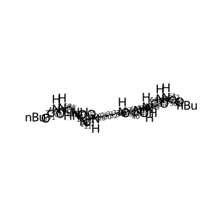 CCCCOc1ccc(NC(=O)Nc2ccc(NNC(=O)C[n+]3cccc(C(=O)NCCCCCCCCNOCc4ccc[n+](CC(O)NNc5ccc(NC(=O)Nc6ccc(OCCCC)cc6)cc5)c4)c3)cc2)cc1